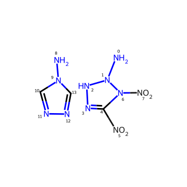 NN1NN=C([N+](=O)[O-])N1[N+](=O)[O-].Nn1cnnc1